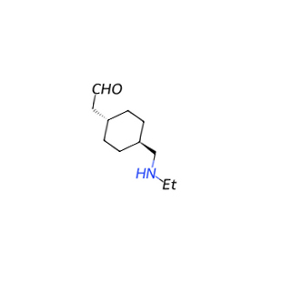 CCNC[C@H]1CC[C@H](CC=O)CC1